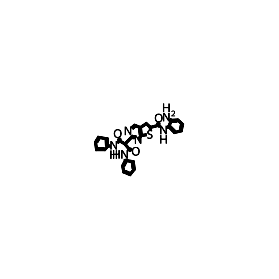 Nc1ccccc1NC(=O)C1Cc2cnc(C(C(=O)Nc3ccccc3)C(=O)Nc3ccccc3)nc2S1